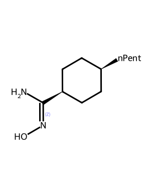 CCCCC[C@H]1CC[C@@H](/C(N)=N/O)CC1